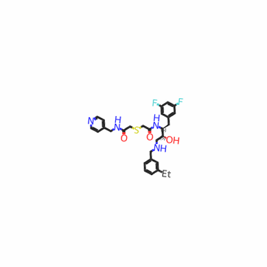 CCc1cccc(CNC[C@H](O)[C@H](Cc2cc(F)cc(F)c2)NC(=O)CSCC(=O)NCc2ccncc2)c1